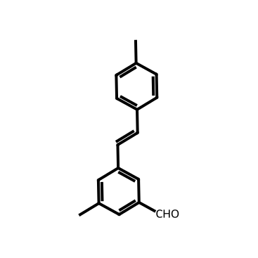 Cc1ccc(/C=C/c2cc(C)cc(C=O)c2)cc1